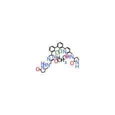 COc1nc(-c2cccc(-c3cccc(-c4cnc(CNCC5CCC(=O)N5)c(OC)n4)c3Cl)c2Cl)ccc1CNC1CCNC1=O